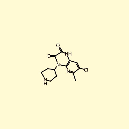 Cc1nc2c(cc1Cl)[nH]c(=O)c(=O)n2C1CCNCC1